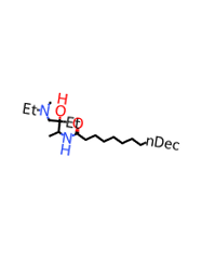 CCCCCCCCCCCCCCCCCC(=O)NC(C)C(O)(CC)CN(C)CC